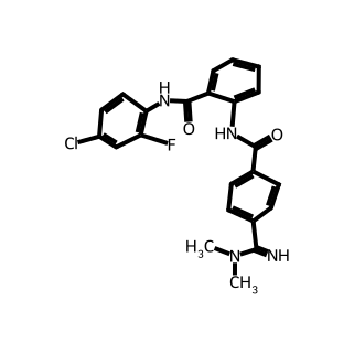 CN(C)C(=N)c1ccc(C(=O)Nc2ccccc2C(=O)Nc2ccc(Cl)cc2F)cc1